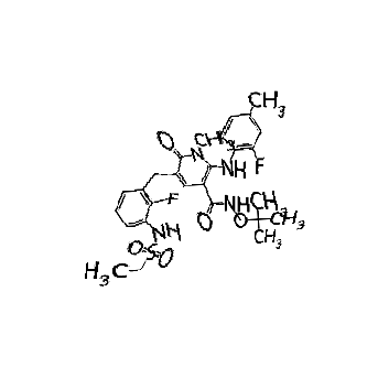 CCS(=O)(=O)Nc1cccc(Cc2cc(C(=O)NOC(C)(C)C)c(Nc3ccc(C)cc3F)n(C)c2=O)c1F